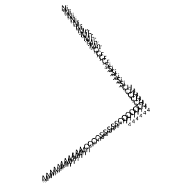 C.C.C.C.C.C.C.C.C.C.C.[Cr].[Cr].[Cr].[Cr].[Cr].[Cr].[Cr].[Cr].[Mn].[Mn].[Mn].[Mn].[Mn].[Mn].[Mn].[Mn].[Mn].[Mn].[Mn].[Ni].[Ni].[Ni].[Ni].[Ni].[Ni].[Ni].[Ni].[Ni].[Ni].[Ni].[Si].[Si].[Si].[Si].[Si].[Si].[Si].[Si].[Si].[Si].[Si]